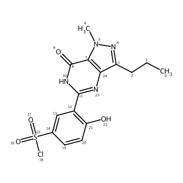 CCCc1nn(C)c2c(=O)[nH]c(-c3cc(S(=O)(=O)Cl)ccc3O)nc12